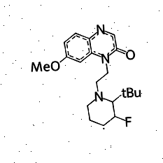 COc1ccc2ncc(=O)n(CCN3CC[CH]C(F)C3C(C)(C)C)c2c1